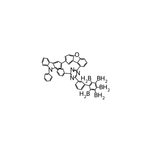 Bc1c(B)c(B)c(-c2cccc(-c3nc(-c4ccccc4)nc(-c4cccc5oc6ccc(-c7ccc8c(c7)c7ccccc7n8-c7ccccc7)cc6c45)n3)c2)c(B)c1B